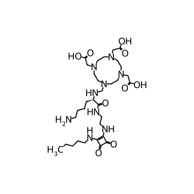 CCCCCNc1c(NCCNC(=O)[C@@H](CCCCN)NCN2CCN(CC(=O)O)CCN(CC(=O)O)CCN(CC(=O)O)CC2)c(=O)c1=O